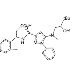 Cc1ccccc1C(CC(=O)O)NC(=O)c1cc(N(C)CC(O)C(C)(C)C)n(-c2ccccc2)n1